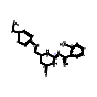 CCC1C=CC(NCC2CC(=O)N/C(=N\C(=N)c3ccccc3C)N2)=CC1